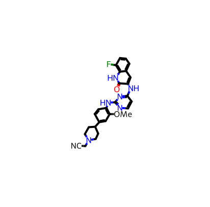 COc1cc(C2CCN(CC#N)CC2)ccc1Nc1nccc(Nc2cc3cccc(F)c3[nH]c2=O)n1